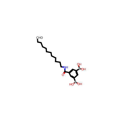 O=CCCCCCCCCCCCNC(=O)c1cc(B(O)O)cc(B(O)O)c1